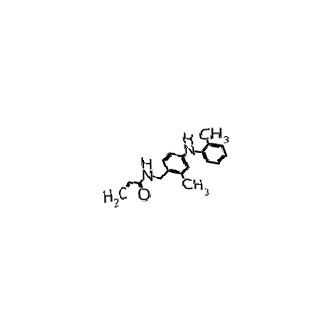 C=CC(=O)NCc1ccc(Nc2ccccc2C)cc1C